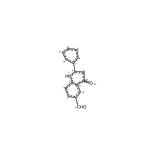 O=Cc1ccc2[nH]c(-c3ccccc3)cc(=O)c2c1